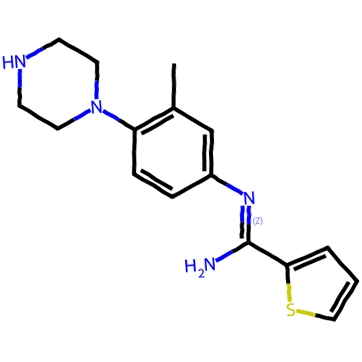 Cc1cc(/N=C(\N)c2cccs2)ccc1N1CCNCC1